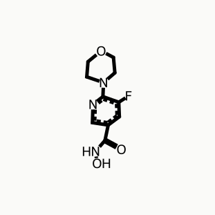 O=C(NO)c1cnc(N2CCOCC2)c(F)c1